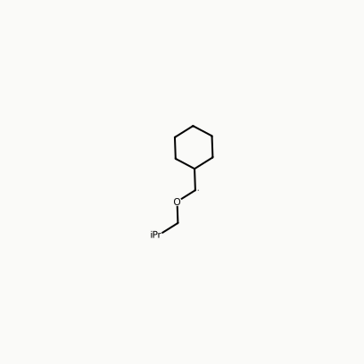 CC(C)CO[CH]C1CCCCC1